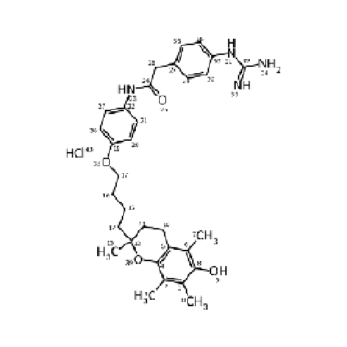 Cc1c(C)c2c(c(C)c1O)CCC(C)(CCCCOc1ccc(NC(=O)Cc3ccc(NC(=N)N)cc3)cc1)O2.Cl